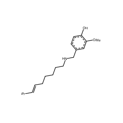 COc1cc(CNCCCCC/C=C/C(C)C)ccc1O